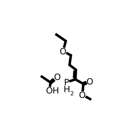 CC(=O)O.CCOCCC=C(P)C(=O)OC